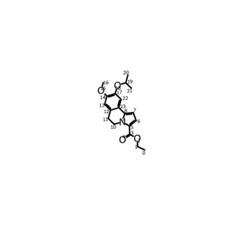 CCOC(=O)c1ccc2n1CCc1cc(OC)c(OC(C)C)cc1-2